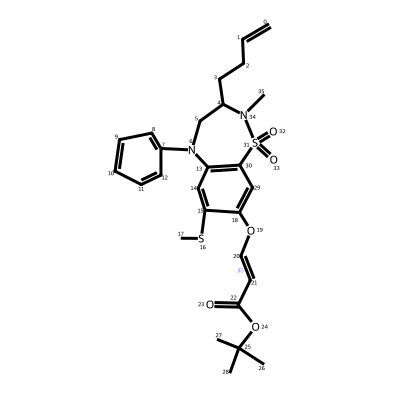 C=CCCC1CN(c2ccccc2)c2cc(SC)c(O/C=C/C(=O)OC(C)(C)C)cc2S(=O)(=O)N1C